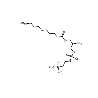 CCCCCCCCCCCCCCCCCCC(=O)OC[C@H](COP(=O)(O)OCC[N+](C)(C)C)OC(C)=O